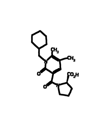 Cc1cc(C(=O)N2CCC[C@@H]2C(=O)O)c(=O)n(CC2CCCCC2)c1C